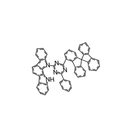 c1ccc(-c2nc(-c3cccc4c3-c3ccccc3C43c4ccccc4-c4ccccc43)nc(-n3c4ccccc4c4ccc5c6ccccc6[nH]c5c43)n2)cc1